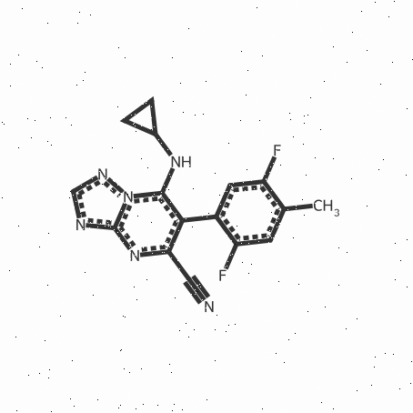 Cc1cc(F)c(-c2c(C#N)nc3ncnn3c2NC2CC2)cc1F